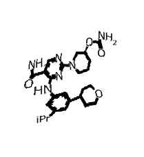 CC(C)c1cc(Nc2nc(N3CCC[C@H](OC(N)=O)C3)ncc2C(N)=O)cc(C2CCOCC2)c1